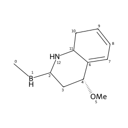 CBC1C[C@@H](OC)C2=CC=CCC2N1